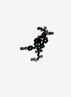 COc1ccc(CN(Cc2ccc(OC)cc2)S(=O)(=O)c2c(S(=O)(=O)NCCNC(=O)O)ccc(-c3ccnc(NCCNC(=O)OC(C)(C)C)c3)c2-c2nnn(Cc3ccc(OC)cc3)n2)cc1